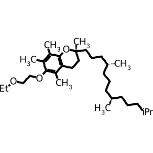 CCOCCOc1c(C)c(C)c2c(c1C)CC[C@@](C)(CCC[C@H](C)CCC[C@H](C)CCCC(C)C)O2